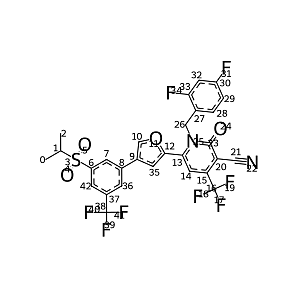 CC(C)S(=O)(=O)c1cc(-c2coc(-c3cc(C(F)(F)F)c(C#N)c(=O)n3Cc3ccc(F)cc3F)c2)cc(C(F)(F)F)c1